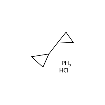 C1CC1C1CC1.Cl.P